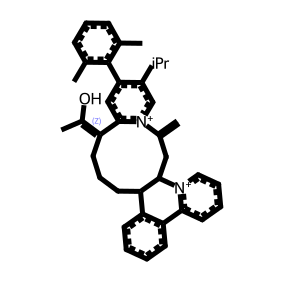 C=C1CC2C(CCC/C(=C(\C)O)c3cc(-c4c(C)cccc4C)c(C(C)C)c[n+]31)c1ccccc1-c1cccc[n+]12